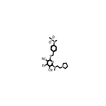 CCc1c(C#N)c(SCc2ccc(N(C)S(C)(=O)=O)cc2)nc(N(C)CCN2CCCC2)c1C#N